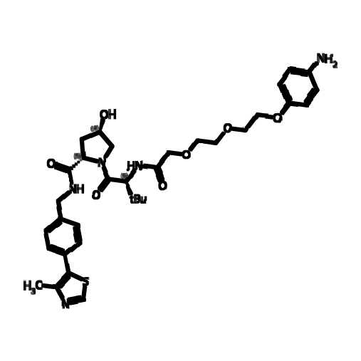 Cc1ncsc1-c1ccc(CNC(=O)[C@@H]2C[C@@H](O)CN2C(=O)[C@@H](NC(=O)COCCOCCOc2ccc(N)cc2)C(C)(C)C)cc1